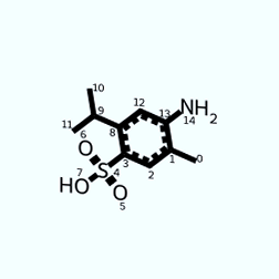 Cc1cc(S(=O)(=O)O)c(C(C)C)cc1N